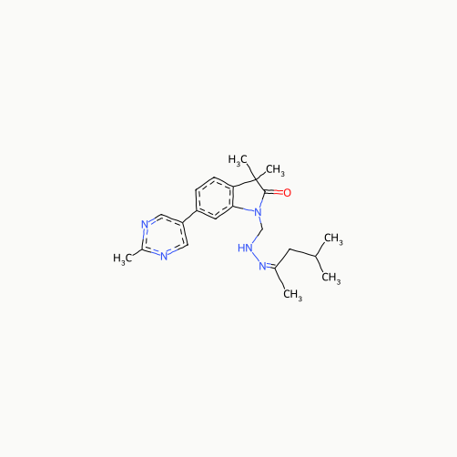 C/C(CC(C)C)=N/NCN1C(=O)C(C)(C)c2ccc(-c3cnc(C)nc3)cc21